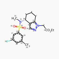 CCOC(=O)Cn1ncc2c1CCC[C@H]2N(C)S(=O)(=O)c1cc(F)cc(C(F)(F)F)c1